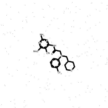 CSc1nc(N)nc(NC(=O)CN(CC2CCOCC2)c2cccc(C(F)(F)F)c2)c1C#N